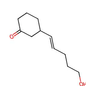 O=C1CCCC(C=CCCCO)C1